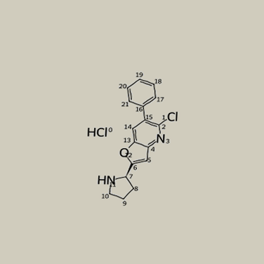 Cl.Clc1nc2cc([C@H]3CCCN3)oc2cc1-c1ccccc1